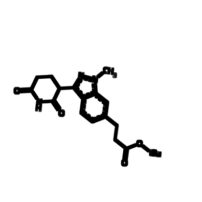 Cn1nc(C2CCC(=O)NC2=O)c2ccc(CCC(=O)OC(C)(C)C)cc21